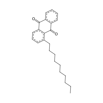 CCCCCCCCCCc1cccc2c1C(=O)c1ccccc1C2=O